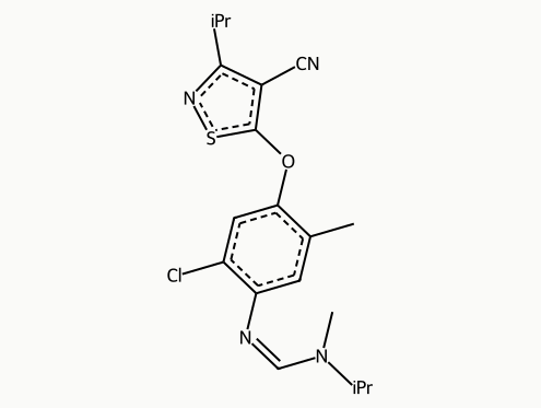 Cc1cc(/N=C\N(C)C(C)C)c(Cl)cc1Oc1snc(C(C)C)c1C#N